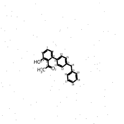 CC(=O)c1c(O)[c]ccc1-c1ccc(Cc2ccccc2)cc1